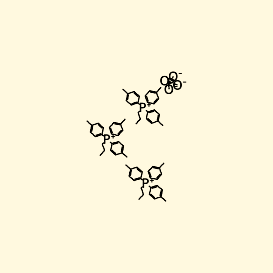 CCC[P+](c1ccc(C)cc1)(c1ccc(C)cc1)c1ccc(C)cc1.CCC[P+](c1ccc(C)cc1)(c1ccc(C)cc1)c1ccc(C)cc1.CCC[P+](c1ccc(C)cc1)(c1ccc(C)cc1)c1ccc(C)cc1.O=P([O-])([O-])[O-]